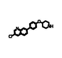 Clc1cnc2cc(-c3ccc(OC4CCNCC4)cc3)ccc2c1